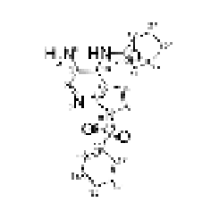 Nc1cnc2c(ccn2S(=O)(=O)c2ccccc2)c1NC1CC2CCC1O2